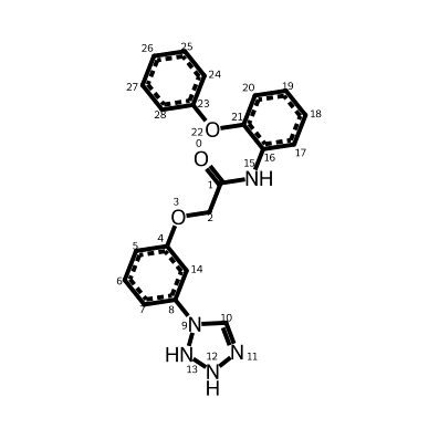 O=C(COc1cccc(N2C=NNN2)c1)Nc1ccccc1Oc1ccccc1